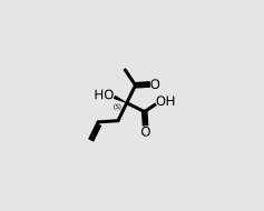 C=CC[C@](O)(C(C)=O)C(=O)O